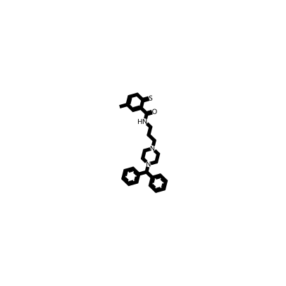 CC1=CCC(=S)C(C(=O)NCCCN2CCN(C(c3ccccc3)c3ccccc3)CC2)=C1